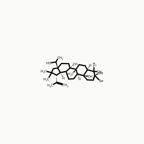 C=C(C)[C@H]1[C@@H]2C3CC[C@@H]4[C@@]5(C)CC[C@@](O)(S)C(C)(C)[C@@H]5CC[C@@]4(C)[C@]3(C)CC[C@@]2(C(C)O)CC1(C)C